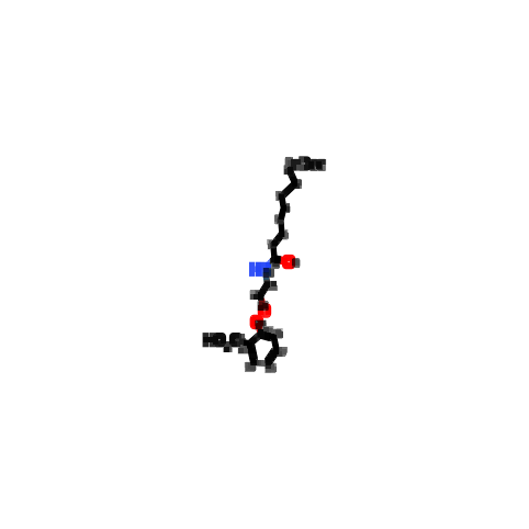 CCCCCCCCCCCCCCCCCC(=O)NCCOOc1ccccc1C(=O)O